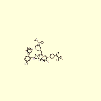 COC(=O)Nc1ccc(-c2cc([C@H](CC3CCCN(C(=O)C4CC4)C3)NC(=O)/C=C/c3cc(Cl)ccc3-n3cnnn3)nnc2Cl)cc1